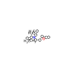 CC1(C)c2ccccc2-c2ccc(N(c3cccc(-c4cccc(-c5cccc6c5oc5cc7ccccc7cc56)c4)c3)c3ccc4c(c3)C(C)(C)c3ccccc3-4)cc21